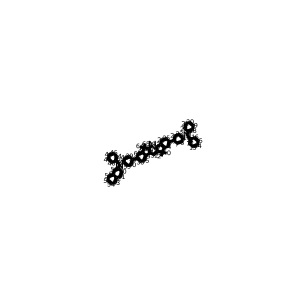 CC1(C)c2cc(-c3ccc(N(c4ccccc4)c4ccccc4)cc3)ccc2-c2nc3c(cc21)-c1ccc(-c2ccc(N(c4ccccc4)c4ccc5ccccc5c4)cc2)cc1C3(C)C